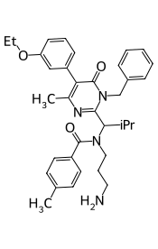 CCOc1cccc(-c2c(C)nc(C(C(C)C)N(CCCN)C(=O)c3ccc(C)cc3)n(Cc3ccccc3)c2=O)c1